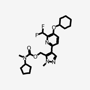 CN(C(=O)OCc1c(-c2ccc(OC3CCCCC3)c(C(F)F)n2)cnn1C)C1CCCC1